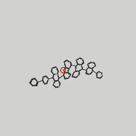 c1ccc(-c2ccc(-c3c4ccccc4c(-c4cccc5c4oc4cccc(-c6c7ccccc7c(-c7ccc(-c8ccccc8)c8ccccc78)c7ccccc67)c45)c4ccccc34)cc2)cc1